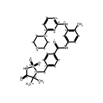 Cc1ccc(NC(=O)c2ccc(CN3C(C)(C)C(=O)NS3(=O)=O)cc2)cc1Nc1nccc(N2CCOCC2)n1